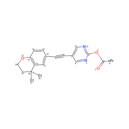 CCCC(=O)Oc1ncc(C#Cc2ccc3c(c2)C(CC)(CC)CCO3)cn1